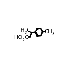 CC1CC=C(C(C)CC(=O)O)CC1